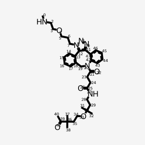 CNCCOCCCn1nnc2c1-c1ccccc1CN(C(=O)CCC(=O)NCCC(C)(C)OCCC(C)(C)C(C)=O)c1ccccc1-2